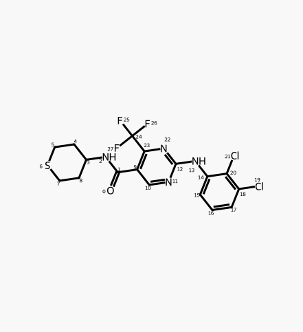 O=C(NC1CCSCC1)c1cnc(Nc2cccc(Cl)c2Cl)nc1C(F)(F)F